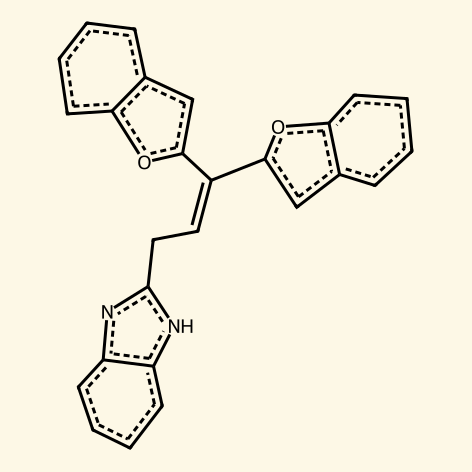 C(Cc1nc2ccccc2[nH]1)=C(c1cc2ccccc2o1)c1cc2ccccc2o1